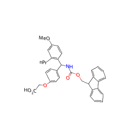 CCCc1cc(OC)ccc1C(NC(=O)OCC1c2ccccc2-c2ccccc21)c1ccc(OCC(=O)O)cc1